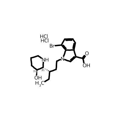 CCC(CCn1cc(C(=O)O)c2cccc(Br)c21)[C@H]1NCCC[C@@H]1O.Cl.Cl